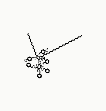 CCCCCCCCCCCCCCCCCCCCCCCCCc1cn([C@@H](CO[C@H]2OC(COCc3ccccc3)[C@H](OCc3ccccc3)[C@H](OCc3ccccc3)[C@H]2OCc2ccccc2)[C@H](OCc2ccc(OC)cc2)[C@@H](CCCCCCCCCCCCCC)OCc2ccc(OC)cc2)nn1